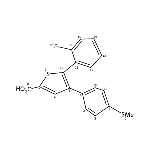 CSc1ccc(-c2cc(C(=O)O)sc2-c2ccccc2F)cc1